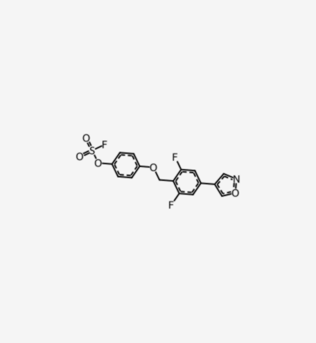 O=S(=O)(F)Oc1ccc(OCc2c(F)cc(-c3cnoc3)cc2F)cc1